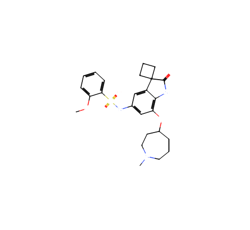 COc1ccccc1S(=O)(=O)Nc1cc(OC2CCCN(C)CC2)c2c(c1)C1(CCC1)C(=O)N2